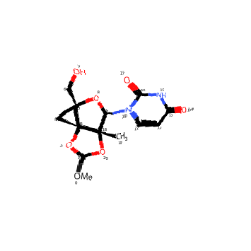 COC1O[C@]23C[C@]2(CO)O[C@@H](n2ccc(=O)[nH]c2=O)[C@]3(C)O1